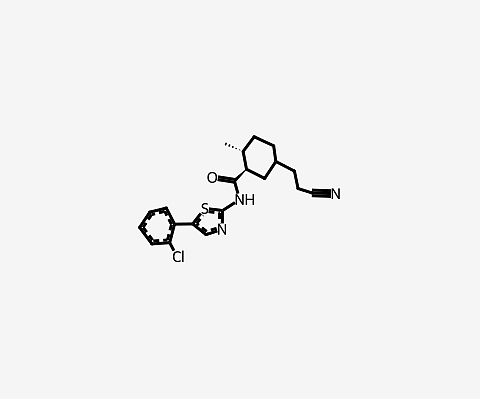 C[C@@H]1CCC(CCC#N)C[C@H]1C(=O)Nc1ncc(-c2ccccc2Cl)s1